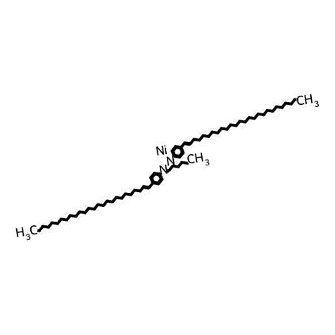 CCCCCCCCCCCCCCCCCCCCCCCCC=Cc1ccc(N=CC(CCCC)=Nc2ccc(C=CCCCCCCCCCCCCCCCCCCCCCCCC)cc2)cc1.[Ni]